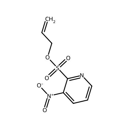 C=CCOS(=O)(=O)c1ncccc1[N+](=O)[O-]